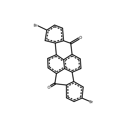 O=C1c2ccc(Br)cc2-c2ccc3c4c(ccc1c24)-c1cc(Br)ccc1C3=O